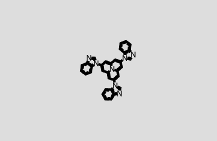 C1=C2C=C(n3cnc4ccccc43)C=C3C=C(n4cnc5ccccc54)C=C(C=C1n1cnc4ccccc41)N23